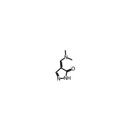 CN(C)C=C1C=NNC1=O